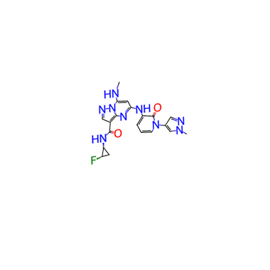 CNc1cc(Nc2cccn(-c3cnn(C)c3)c2=O)nc2c(C(=O)N[C@H]3C[C@H]3F)cnn12